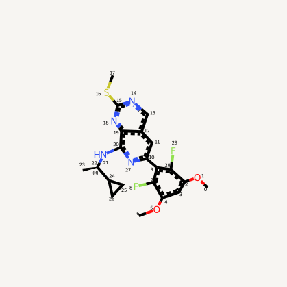 COc1cc(OC)c(F)c(-c2cc3cnc(SC)nc3c(N[C@H](C)C3CC3)n2)c1F